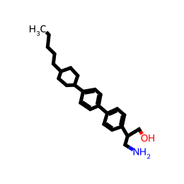 CCCCCC1CCC(c2ccc(-c3ccc(C(CN)CO)cc3)cc2)CC1